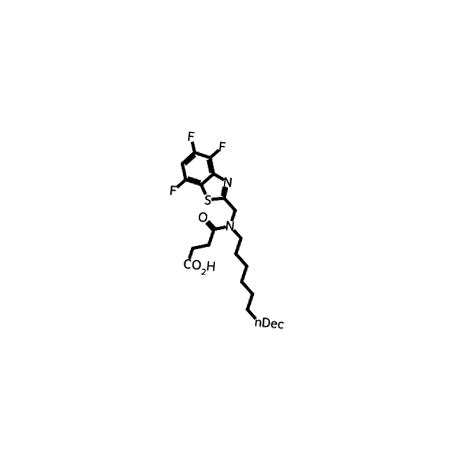 CCCCCCCCCCCCCCCCN(Cc1nc2c(F)c(F)cc(F)c2s1)C(=O)CCC(=O)O